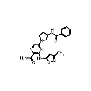 Cc1cc(Nc2nc(N3CC[C@@H](NC(=O)c4ccccc4)C3)cnc2C(N)=O)sn1